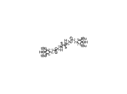 CC(C)(C)c1cc(CCC(=O)OCCNC(=S)C(=S)NCCOC(=O)CCc2cc(C(C)(C)C)c(O)c(C(C)(C)C)c2)cc(C(C)(C)C)c1O